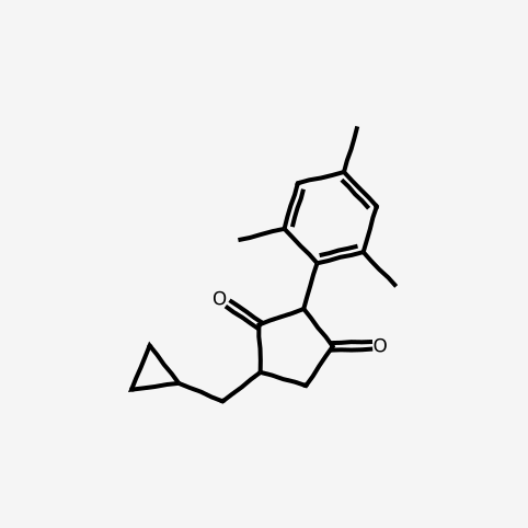 Cc1cc(C)c(C2C(=O)CC(CC3CC3)C2=O)c(C)c1